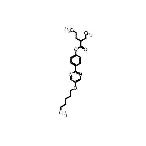 CCCCCCOc1cnc(-c2ccc(OC(=O)C(CC)CCC)cc2)nc1